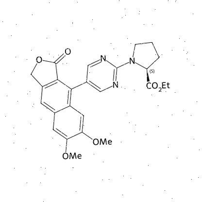 CCOC(=O)[C@@H]1CCCN1c1ncc(-c2c3c(cc4cc(OC)c(OC)cc24)COC3=O)cn1